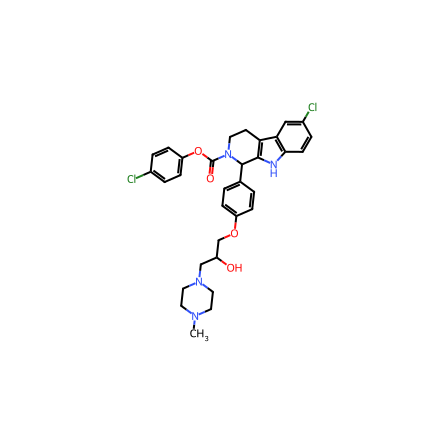 CN1CCN(CC(O)COc2ccc(C3c4[nH]c5ccc(Cl)cc5c4CCN3C(=O)Oc3ccc(Cl)cc3)cc2)CC1